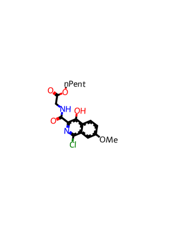 CCCCCOC(=O)CNC(=O)c1nc(Cl)c2cc(OC)ccc2c1O